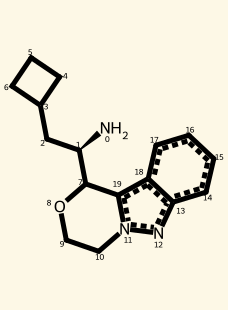 N[C@H](CC1CCC1)C1OCCn2nc3ccccc3c21